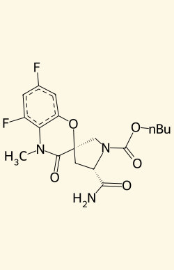 CCCCOC(=O)N1C[C@@]2(C[C@H]1C(N)=O)Oc1cc(F)cc(F)c1N(C)C2=O